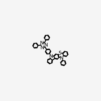 c1ccc(-c2nc(-c3ccccc3)nc(-c3ccc(-n4c5ccccc5c5cc6c(cc54)Sc4ccccc4N6c4ccccc4)cc3)n2)cc1